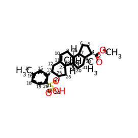 COC(=O)[C@H]1CC[C@H]2[C@@H]3CC=C4C[C@@H](c5cc(C)ccc5S(=O)(=O)O)CC[C@]4(C)[C@H]3CC[C@]12C